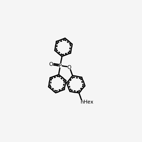 CCCCCCc1ccc(OP(=O)(c2ccccc2)c2ccccc2)cc1